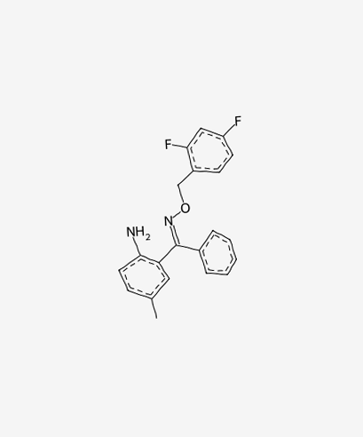 Cc1ccc(N)c(/C(=N/OCc2ccc(F)cc2F)c2ccccc2)c1